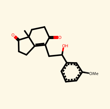 COc1cccc(C(O)CC2=C3CCC(=O)C3(C)CCC2=O)c1